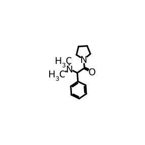 CN(C)C(C(=O)N1CCCC1)c1ccccc1